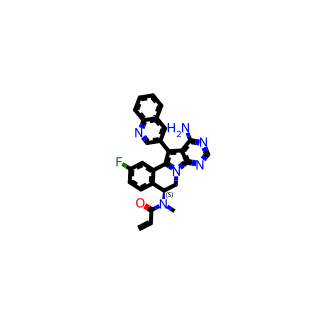 C=CC(=O)N(C)[C@@H]1Cn2c(c(-c3cnc4ccccc4c3)c3c(N)ncnc32)-c2cc(F)ccc21